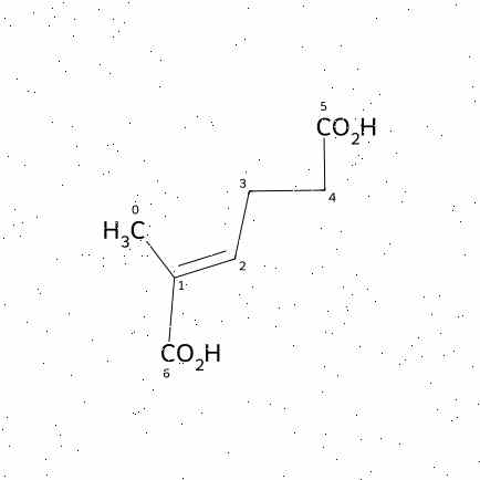 CC(=CCCC(=O)O)C(=O)O